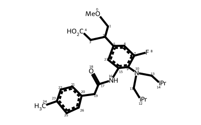 COCC(CC(=O)O)c1cc(F)c(N(CC(C)C)CC(C)C)c(NC(=O)Cc2ccc(C)cc2)c1